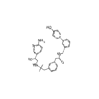 CC(C)(Cc1cccc(CC(=O)NCc2cccc(-c3ccc(O)cc3)c2)c1)NCC(O)c1ccc(N)nc1